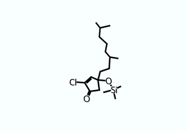 CC(C)CCCC(C)CCC1(O[Si](C)(C)C)C=C(Cl)C(=O)C1